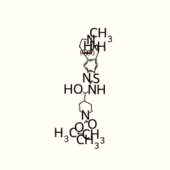 CN1CC[C@]23CCCC[C@H]2[C@H]1Cc1cc2sc(NC(O)C4CCN(C(=O)OC(C)(C)C)CC4)nc2cc13